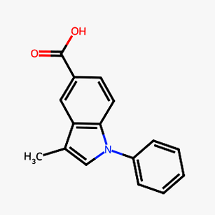 Cc1cn(-c2ccccc2)c2ccc(C(=O)O)cc12